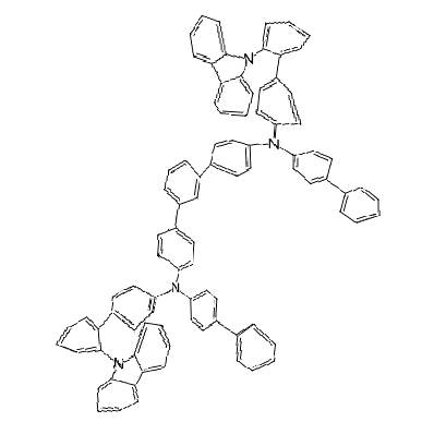 c1ccc(-c2ccc(N(c3ccc(-c4cccc(-c5ccc(N(c6ccc(-c7ccccc7)cc6)c6ccc(-c7ccccc7-n7c8ccccc8c8ccccc87)cc6)cc5)c4)cc3)c3ccc(-c4ccccc4-n4c5ccccc5c5ccccc54)cc3)cc2)cc1